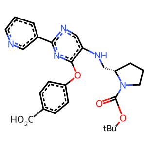 CC(C)(C)OC(=O)N1CCC[C@H]1CNc1cnc(-c2cccnc2)nc1Oc1ccc(C(=O)O)cc1